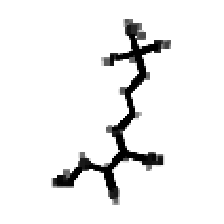 CCCCOC(=O)C(CCCC)SCCCC(F)(F)C(F)(F)F